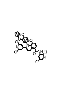 COc1ccc(N2C(c3cc(Cl)nc(Cl)c3)=CCc3c(C(=O)Nc4cc(Cl)cnc4Cl)ccc(OC)c32)cc1OC1CCCC1